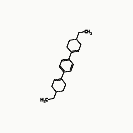 CCC1CC=C(c2ccc(C3=CCC(CC)CC3)cc2)CC1